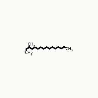 [CH2]CC(C)CCCCCCCCCCCCC